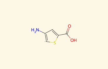 Nc1[c]sc(C(=O)O)c1